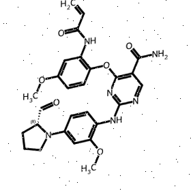 C=CC(=O)Nc1cc(OC)ccc1Oc1nc(Nc2ccc(N3CCC[C@@H]3C=O)cc2OC)ncc1C(N)=O